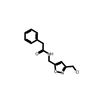 O=C(Cc1ccccc1)NCc1cc(CCl)no1